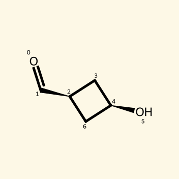 O=C[C@H]1C[C@@H](O)C1